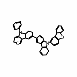 C1=CC2Oc3ccc(-n4c5c(c6cc(C7=CC8C9=CCCC=C9N(c9ccccc9)C8CC7)ccc64)C=CCC5)cc3C2C=C1